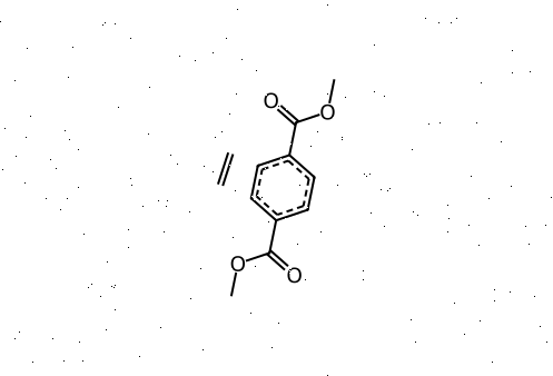 C=C.COC(=O)c1ccc(C(=O)OC)cc1